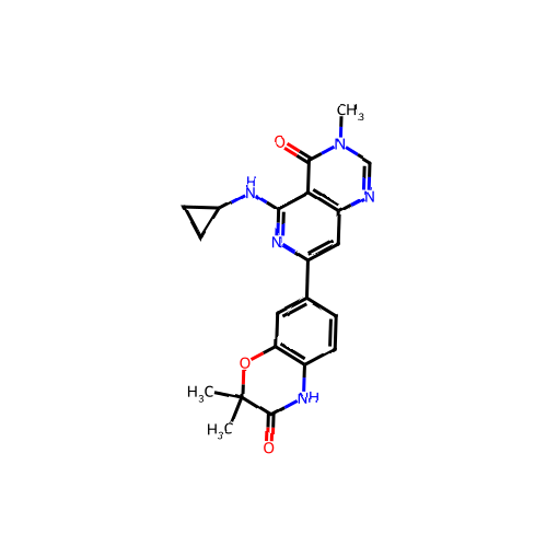 Cn1cnc2cc(-c3ccc4c(c3)OC(C)(C)C(=O)N4)nc(NC3CC3)c2c1=O